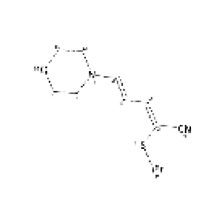 CC(C)SC(C#N)=CC=CN1CCOCC1